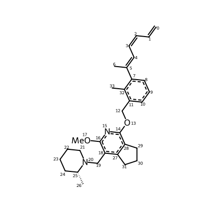 C=C/C=C\C=C(/C)c1cccc(COc2nc(OC)c(CN3CCCC[C@H]3C)c3c2CCC3)c1C